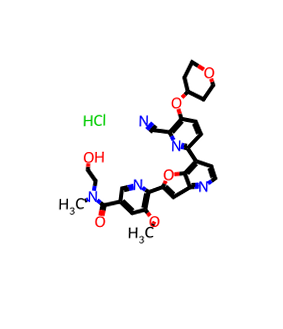 COc1cc(C(=O)N(C)CCO)cnc1-c1cc2nccc(-c3ccc(OC4CCOCC4)c(C#N)n3)c2o1.Cl